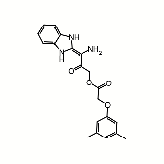 Cc1cc(C)cc(OCC(=O)OCC(=O)C(N)=C2Nc3ccccc3N2)c1